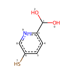 OC(O)c1ccc(S)cn1